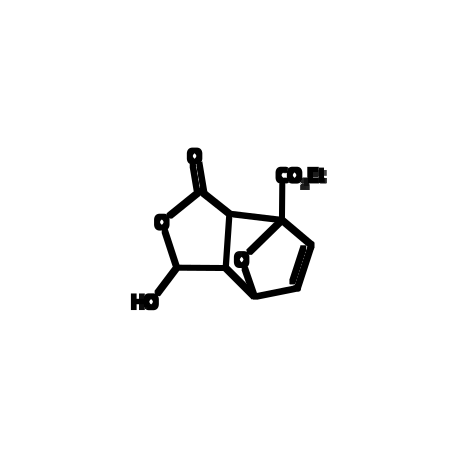 CCOC(=O)C12C=CC(O1)C1C(O)OC(=O)C12